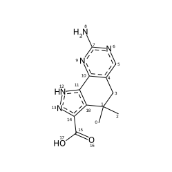 CC1(C)Cc2cnc(N)nc2-c2[nH]nc(C(=O)O)c21